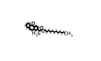 CCCCCCCCCCCCOC(=O)C(C)c1ccc2c(=O)c3ccccc3ccc2c1